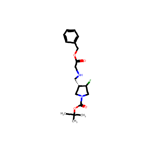 CC(C)(C)OC(=O)N1CC(F)[C@@H](CNCC(=O)OCc2ccccc2)C1